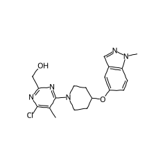 Cc1c(Cl)nc(CO)nc1N1CCC(Oc2ccc3c(cnn3C)c2)CC1